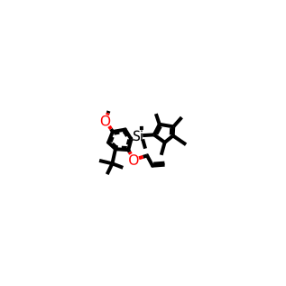 C=CCOc1c(C(C)(C)C)cc(OC)cc1[Si](C)(C)C1=C(C)C(C)=C(C)C1C